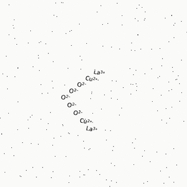 [Cu+2].[Cu+2].[La+3].[La+3].[O-2].[O-2].[O-2].[O-2].[O-2]